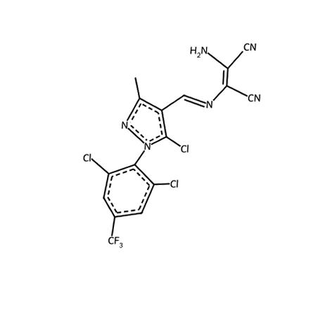 Cc1nn(-c2c(Cl)cc(C(F)(F)F)cc2Cl)c(Cl)c1C=NC(C#N)=C(N)C#N